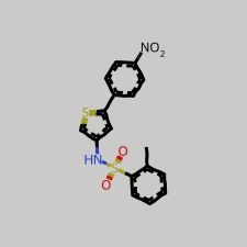 Cc1ccccc1S(=O)(=O)Nc1csc(-c2ccc([N+](=O)[O-])cc2)c1